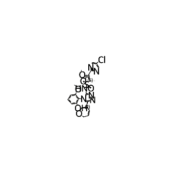 COc1cccc(O)c1-n1c(NS(=O)(=O)[C@@H](C)[C@H](OC)c2ncc(Cl)cn2)nnc1[C@H]1C=CCOC1